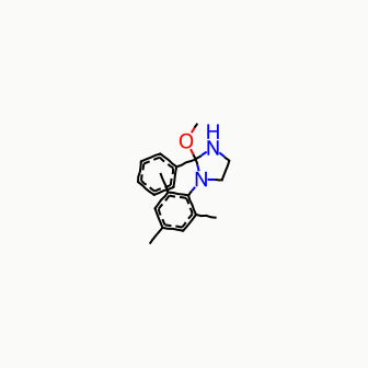 COC1(c2ccccc2)NCCN1c1c(C)cc(C)cc1C